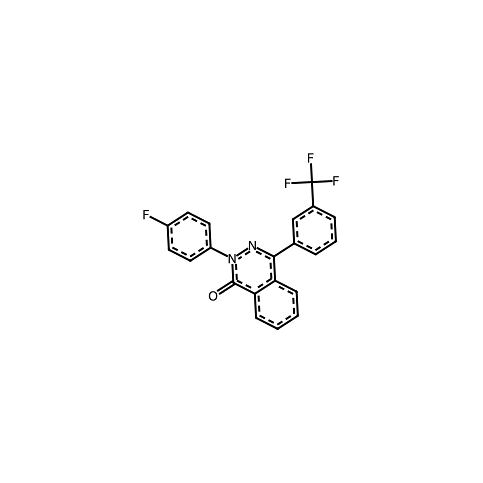 O=c1c2ccccc2c(-c2cccc(C(F)(F)F)c2)nn1-c1ccc(F)cc1